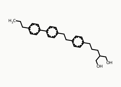 CCCc1ccc(-c2ccc(CCc3ccc(CCCC(CO)CO)cc3)cc2)cc1